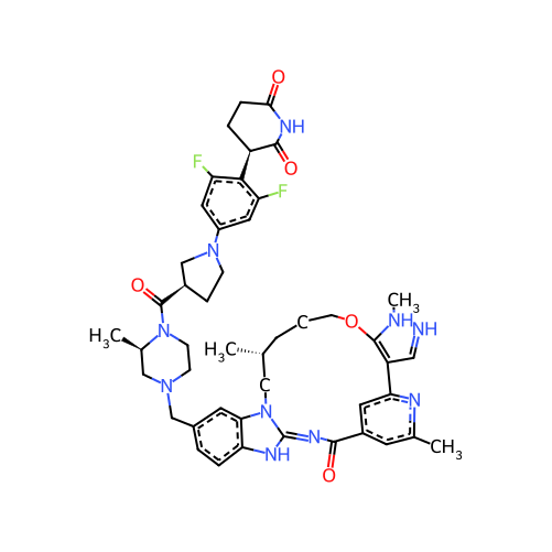 CN/C1=C(\C=N)c2cc(cc(C)n2)C(=O)/N=C2\Nc3ccc(CN4CCN(C(=O)[C@@H]5CCN(c6cc(F)c([C@H]7CCC(=O)NC7=O)c(F)c6)C5)[C@H](C)C4)cc3N2C[C@H](C)CCCO1